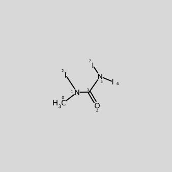 CN(I)C(=O)N(I)I